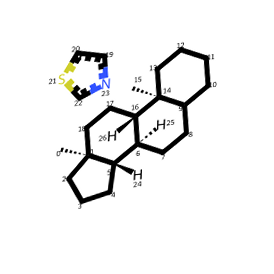 C[C@@]12CCC[C@H]1[C@@H]1CCC3CCCC[C@]3(C)[C@H]1CC2.c1cscn1